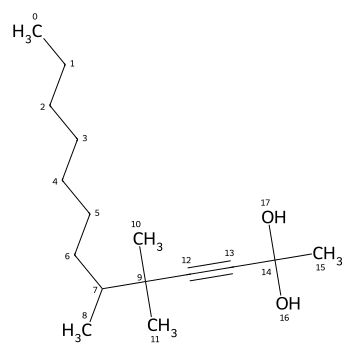 CCCCCCCC(C)C(C)(C)C#CC(C)(O)O